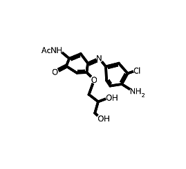 CC(=O)NC1=CC(=Nc2ccc(N)c(Cl)c2)C(OCC(O)CO)=CC1=O